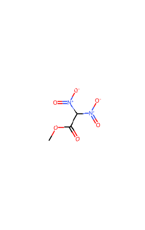 COC(=O)C([N+](=O)[O-])[N+](=O)[O-]